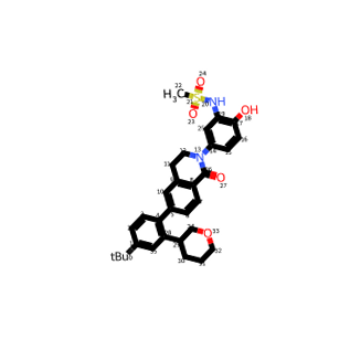 CC(C)(C)c1ccc(-c2ccc3c(c2)CCN(c2ccc(O)c(NS(C)(=O)=O)c2)C3=O)c(C2CCCOC2)c1